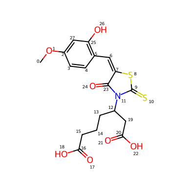 COc1ccc(C=C2SC(=S)N(C(CCCC(=O)O)CC(=O)O)C2=O)c(O)c1